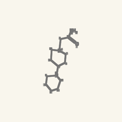 NC(=O)CN1CCC(N2CCCCC2)CC1